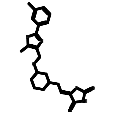 Cc1cccc(-c2nc(COC3CCCC(CC=C4SC(=O)NC4=O)C3)c(C)o2)c1